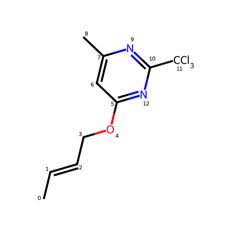 C/C=C/COc1cc(C)nc(C(Cl)(Cl)Cl)n1